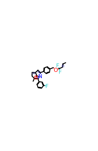 C/C=C/C(F)(F)OCc1ccc(C2=C/C(C(C)=O)=C/CC(C)/C(c3cccc(F)c3)=N\2)cc1